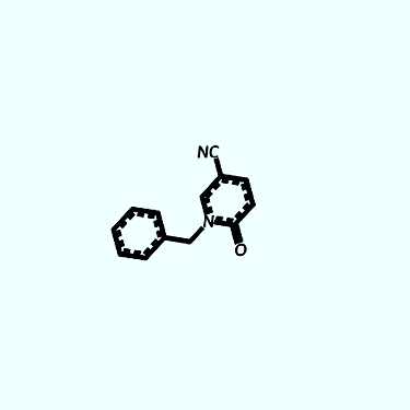 N#Cc1ccc(=O)n(Cc2ccccc2)c1